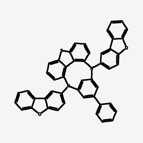 c1ccc(-c2cc3cc(c2)N(c2ccc4oc5ccccc5c4c2)c2cccc4sc5cccc(c5c24)N3c2ccc3oc4ccccc4c3c2)cc1